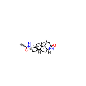 CC(C)(C)C(=O)N[C@H]1CC[C@H]2[C@@H]3CC[C@H]4NC(=O)CC(C)(C)[C@]4(C)[C@H]3CC[C@]12C